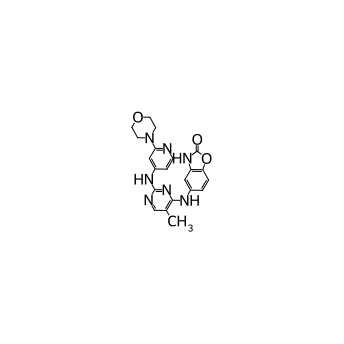 Cc1cnc(Nc2ccnc(N3CCOCC3)c2)nc1Nc1ccc2oc(=O)[nH]c2c1